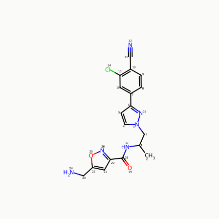 CC(Cn1ccc(-c2ccc(C#N)c(Cl)c2)n1)NC(=O)c1cc(CN)on1